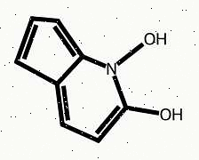 Oc1ccc2cccc-2n1O